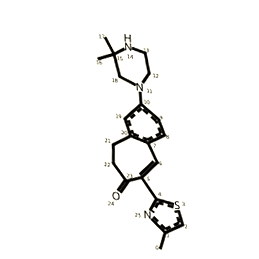 Cc1csc(C2=Cc3ccc(N4CCNC(C)(C)C4)cc3CCC2=O)n1